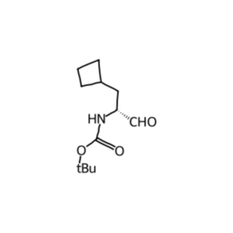 CC(C)(C)OC(=O)N[C@@H](C=O)CC1CCC1